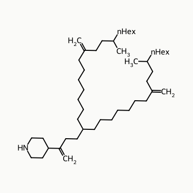 C=C(CCCCCCCC(CCCCCCCC(=C)CCC(C)CCCCCC)CCC(=C)C1CCNCC1)CCC(C)CCCCCC